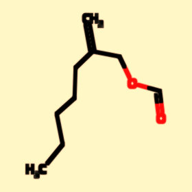 C=C(CCCCC)COC=O